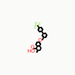 C=C1CCc2cc(OCc3cccc(-c4ccc(C(F)(F)F)cc4)c3)ccc2C1C(=O)O